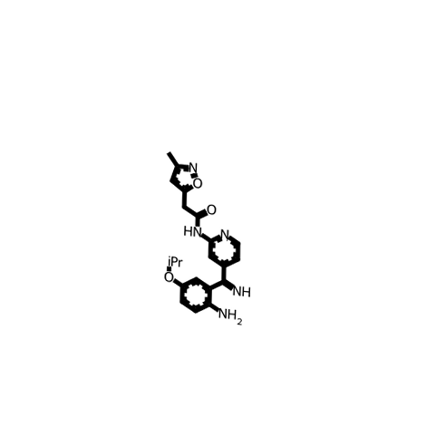 Cc1cc(CC(=O)Nc2cc(C(=N)c3cc(OC(C)C)ccc3N)ccn2)on1